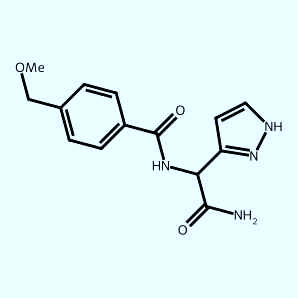 COCc1ccc(C(=O)NC(C(N)=O)c2cc[nH]n2)cc1